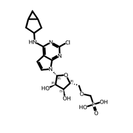 O=P(O)(O)COC[C@H]1O[C@@H](n2ccc3c(NC4CC5CC5C4)nc(Cl)nc32)[C@H](O)[C@@H]1O